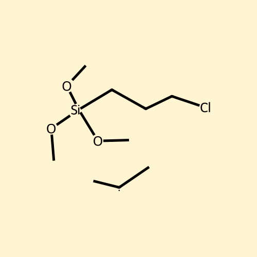 CO[Si](CCCCl)(OC)OC.C[CH]C